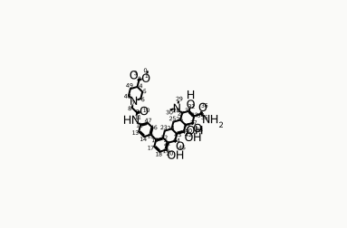 COC(=O)C1CCN(CC(=O)Nc2ccc(-c3ccc(O)c4c3CC3CC5C(N(C)C)C(O)=C(C(N)=O)C(=O)C5(O)C(O)=C3C4=O)cc2)CC1